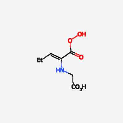 CCC=C(NCC(=O)O)C(=O)OO